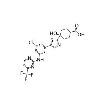 O=C(O)[C@H]1CC[C@](O)(c2ncc(-c3cc(Cl)cc(Nc4nccc(C(F)(F)F)n4)c3)s2)CC1